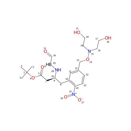 CC(C)(C)OC(=O)C[C@H](Cc1cc(CON(CCO)CCO)ccc1[N+](=O)[O-])NBC=O